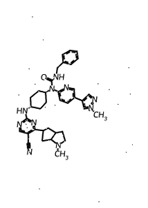 CN1CCC2CC(c3nc(N[C@H]4CC[C@H](N(C(=O)NCc5ccccc5)c5ccc(-c6cnn(C)c6)cn5)CC4)ncc3C#N)CC21